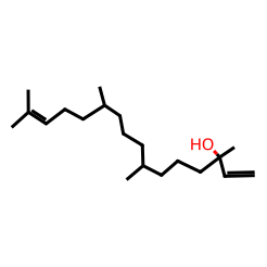 C=CC(C)(O)CCCC(C)CCCC(C)CCC=C(C)C